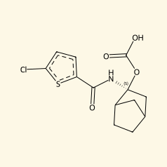 O=C(O)O[C@@]1(NC(=O)c2ccc(Cl)s2)CC2CCC1C2